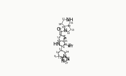 Cc1cc(-c2[nH]c3cc(C(=O)N4CCC5CNCCC54)sc3c2C(C)C)cn2ncnc12